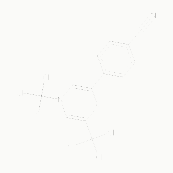 N#Cc1ccc(C2=CN(C(Cl)(Cl)Cl)C=C(C(Cl)(Cl)Cl)S2)cc1